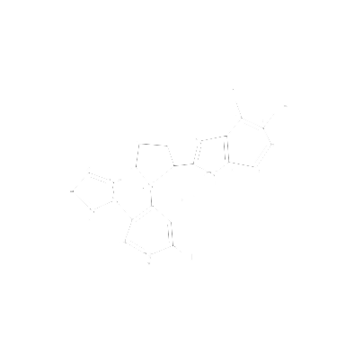 Cc1cc(N2CCC[C@@]2(C)c2nc3c(F)c(F)ccc3[nH]2)c(-n2nccn2)[c]n1